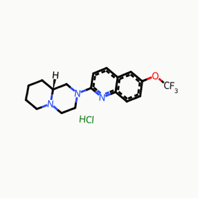 Cl.FC(F)(F)Oc1ccc2nc(N3CCN4CCCC[C@@H]4C3)ccc2c1